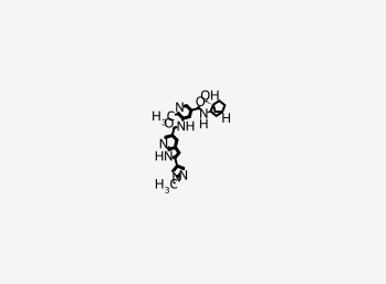 Cc1ncc(C(=O)N[C@@H]2C[C@@H]3CC[C@@]2(CO)C3)cc1NC(=O)c1cnc2[nH]c(-c3cnn(C)c3)cc2c1